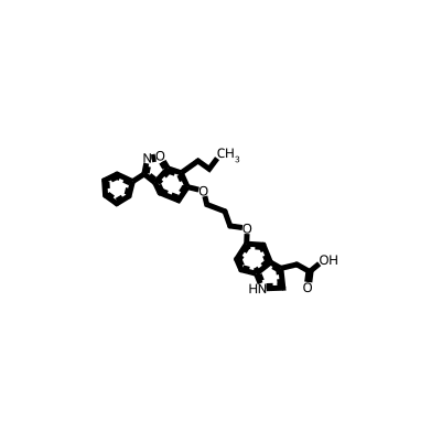 CCCc1c(OCCCOc2ccc3[nH]cc(CC(=O)O)c3c2)ccc2c(-c3ccccc3)noc12